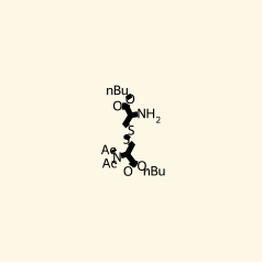 CCCCOC(=O)C(N)CSSCC(C(=O)OCCCC)N(C(C)=O)C(C)=O